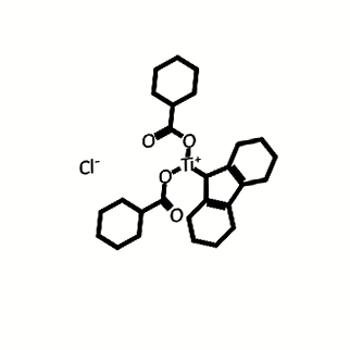 O=C([O][Ti+]([O]C(=O)C1CCCCC1)[CH]1C2=C(CCCC2)C2=C1CCCC2)C1CCCCC1.[Cl-]